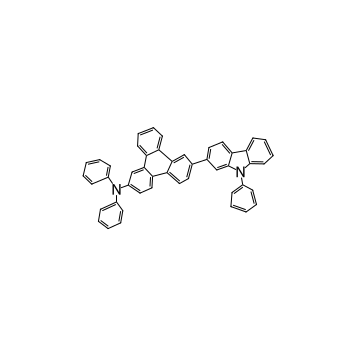 c1ccc(N(c2ccccc2)c2ccc3c4ccc(-c5ccc6c7ccccc7n(-c7ccccc7)c6c5)cc4c4ccccc4c3c2)cc1